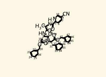 C[C@H](NC(=O)c1ccc(C#N)cn1)C(=O)N[C@@H](CC(=O)OCc1ccccc1)C(=O)N[C@@H](Cc1ccccc1)C(=O)OCc1ccccc1